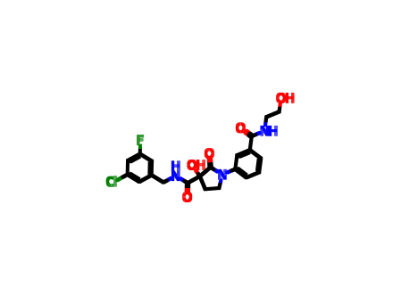 O=C(NCCO)c1cccc(N2CCC(O)(C(=O)NCc3cc(F)cc(Cl)c3)C2=O)c1